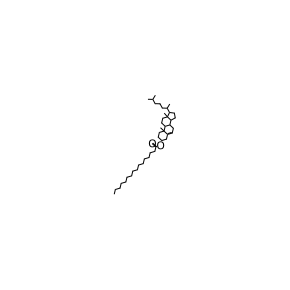 CCCCCCCCCCCCCCCC(=O)OC1CCC2(C)C(=CCC3C2CCC2(C)C(C(C)CCCC(C)C)CCC32)C1